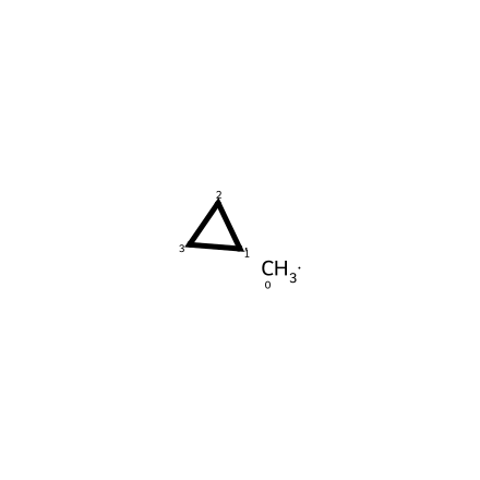 [CH3].[CH]1CC1